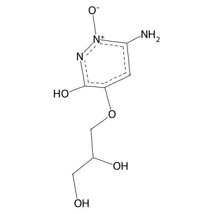 Nc1cc(OCC(O)CO)c(O)n[n+]1[O-]